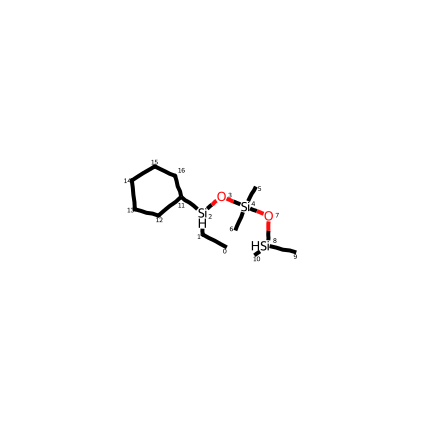 CC[SiH](O[Si](C)(C)O[SiH](C)C)C1CCCCC1